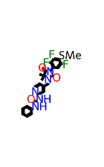 CSc1c(F)cc(N2C(=O)N(Cc3ccnc(NC(=O)Nc4ccccc4)c3)C(C)(C)C2=O)c(F)c1F